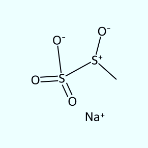 C[S+]([O-])S(=O)(=O)[O-].[Na+]